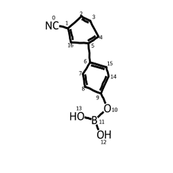 N#Cc1cccc(-c2ccc(OB(O)O)cc2)c1